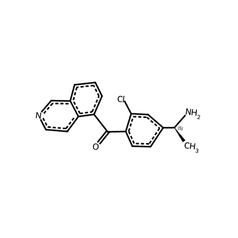 C[C@H](N)c1ccc(C(=O)c2cccc3cnccc23)c(Cl)c1